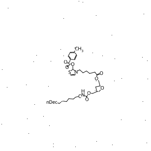 CCCCCCCCCCCCCCCCCNC(=O)OCC1COC(COC(=O)CCCCCN2C=CSC2OS(=O)(=O)c2ccc(C)cc2)C1